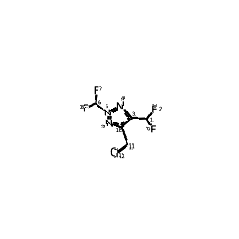 FC(F)c1nn(C(F)F)nc1CCl